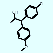 COc1ccc(C(c2ccc(Cl)cc2)C(O)I)cc1